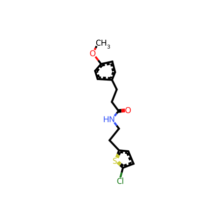 COc1ccc(CCC(=O)NCCc2ccc(Cl)s2)cc1